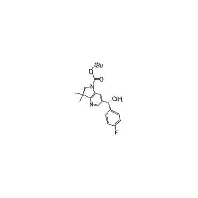 CC(C)(C)OC(=O)N1CC(C)(C)c2ncc([C@H](O)c3ccc(F)cc3)cc21